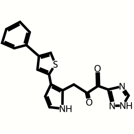 O=C(Cc1[nH]ccc1-c1cc(-c2ccccc2)cs1)C(=O)c1nc[nH]n1